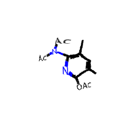 CC(=O)Oc1nc(N(C(C)=O)C(C)=O)c(C)cc1C